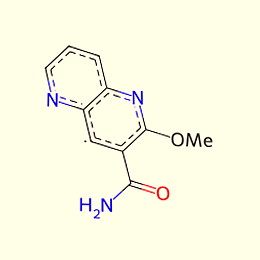 COc1nc2cccnc2[c]c1C(N)=O